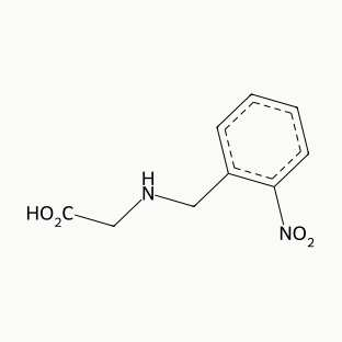 O=C(O)CNCc1ccccc1[N+](=O)[O-]